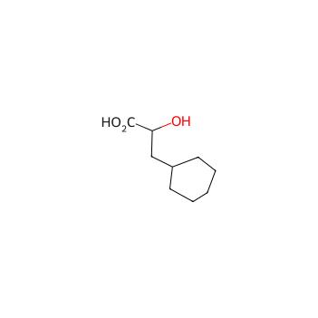 O=C(O)C(O)CC1CCCCC1